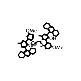 COc1ccc(O[C@@H](C)C[C@H](C)Oc2ccc(OC)cc2-c2cc(C)cc(-c3c4c(cc5c3CCCC5)CCCC4)c2O)c(-c2cc(C)cc(-c3c4c(cc5c3CCCC5)CCCC4)c2O)c1